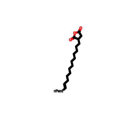 CCCCCC=CCCCCCCCCCCCC1CC(=O)OC1=O